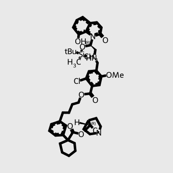 COc1cc(C(=O)OCCCCc2cccc(C3(C(=O)O[C@H]4CN5CCC4CC5)CCCCC3)c2)c(Cl)cc1CNC[C@@H](O[Si](C)(C)C(C)(C)C)n1c(=O)ccc2cccc(O)c21